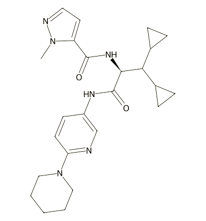 Cn1nccc1C(=O)N[C@H](C(=O)Nc1ccc(N2CCCCC2)nc1)C(C1CC1)C1CC1